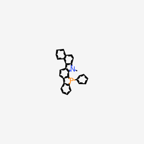 Cn1c2ccc3ccccc3c2c2ccc3c4ccccc4p(-c4ccccc4)c3c21